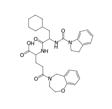 O=C(O)C(CCC(=O)N1CCOc2ccccc2C1)NC(=O)C(CC1CCCCC1)NC(=O)N1CCc2ccccc21